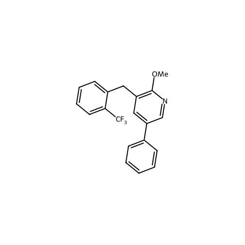 COc1ncc(-c2ccccc2)cc1Cc1ccccc1C(F)(F)F